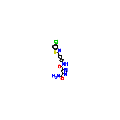 NC(=O)c1cc(C(=O)NC2CC3(C2)CC(c2nc4cc(Cl)ccc4s2)C3)ncn1